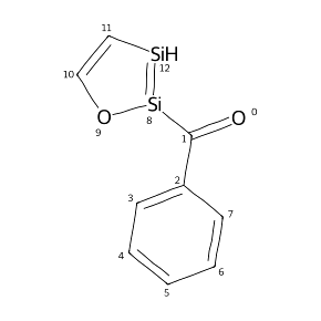 O=C(c1ccccc1)[si]1occ[siH]1